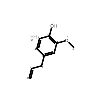 C=CCc1ccc(O)c(OC)c1.[HH]